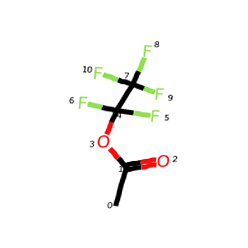 CC(=O)OC(F)(F)C(F)(F)F